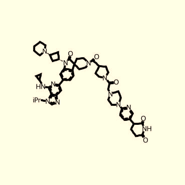 CC(C)n1cnc2cc(-c3ccc4c(c3)N([C@H]3C[C@@H](N5CCCCC5)C3)C(=O)C43CCN(C(=O)C4CCN(C(=O)CN5CCN(c6ccc(C7CCC(=O)NC7=O)cn6)CC5)CC4)CC3)nc(NC3CC3)c21